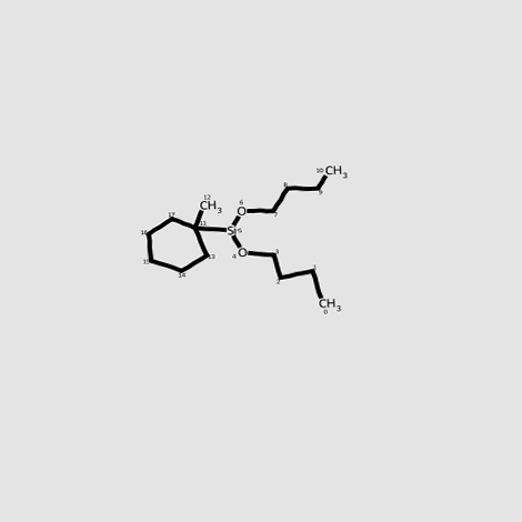 CCCCO[Si](OCCCC)C1(C)CCCCC1